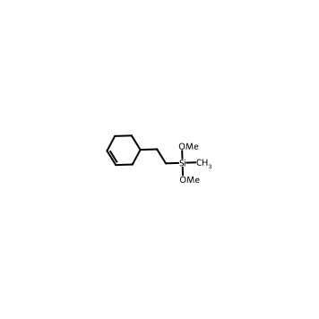 CO[Si](C)(CCC1CC=CCC1)OC